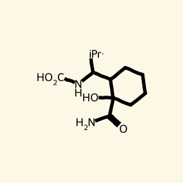 C[C](C)C(NC(=O)O)C1CCCCC1(O)C(N)=O